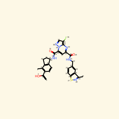 C=C(O)c1ccc2c(c1C)CC[C@@H]2NC(=O)c1cc(C(=O)NCc2ccc3snc(C)c3c2)nc2c(F)cnn12